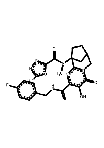 Cc1nnc(C(=O)N(C)C23CCC(Cn4c2nc(C(=O)NCc2ccc(F)cc2)c(O)c4=O)C3)o1